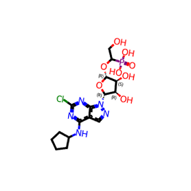 O=P(O)(O)C(CO)O[C@H]1O[C@@H](n2ncc3c(NC4CCCC4)nc(Cl)nc32)[C@H](O)[C@@H]1O